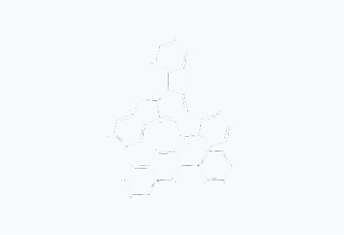 c1ccc(-c2nc3ccccc3nc2-n2c3ccccc3c3c4sc5ccccc5c4c4sc5ccccc5c4c32)cc1